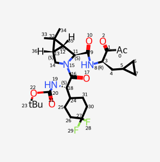 CC(=O)C(=O)[C@@H](CC1CC1)NC(=O)[C@@H]1[C@@H]2[C@H](CN1C(=O)[C@@H](NC(=O)OC(C)(C)C)C1CCC(F)(F)CC1)C2(C)C